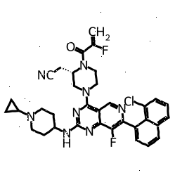 C=C(F)C(=O)N1CCN(c2nc(NC3CCN(C4CC4)CC3)nc3c(F)c(-c4cccc5cccc(Cl)c45)ncc23)C[C@@H]1CC#N